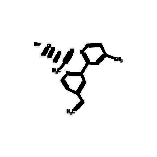 C=Cc1ccnc(-c2cc(C)ccn2)c1.CC#N.[C]=O.[C]=O.[C]=O.[Re]